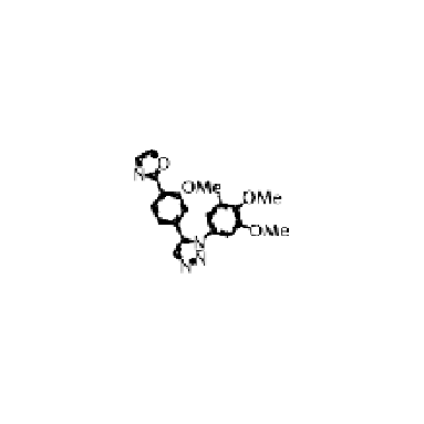 COc1cc(-n2nncc2-c2ccc(-c3ncco3)cc2)cc(OC)c1OC